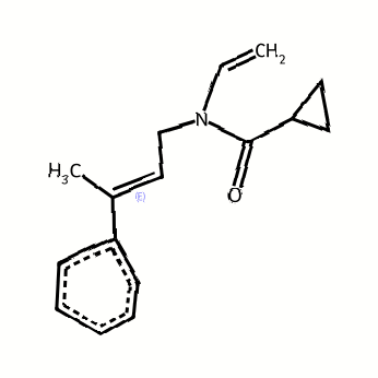 C=CN(C/C=C(\C)c1ccccc1)C(=O)C1CC1